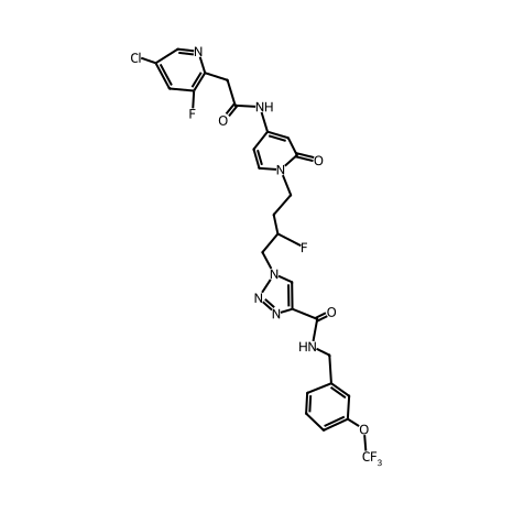 O=C(Cc1ncc(Cl)cc1F)Nc1ccn(CCC(F)Cn2cc(C(=O)NCc3cccc(OC(F)(F)F)c3)nn2)c(=O)c1